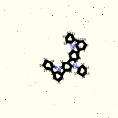 C1=Cc2c3n(c4cc5c(cc24)N(c2ccccc2)C2C=c4c(n6c7ccccc7c7cccc4c76)=CC52)-c2ccccc2C3C1